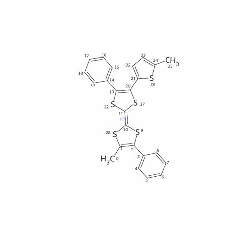 CC1=C(c2ccccc2)S/C(=C2/SC(c3ccccc3)=C(c3ccc(C)s3)S2)S1